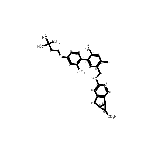 Cc1cc(OCCC(C)(C)O)ccc1-c1cc(COc2cc3c(cn2)C2C(C3)C2C(=O)O)c(F)cc1C(F)(F)F